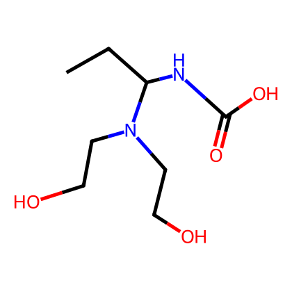 CCC(NC(=O)O)N(CCO)CCO